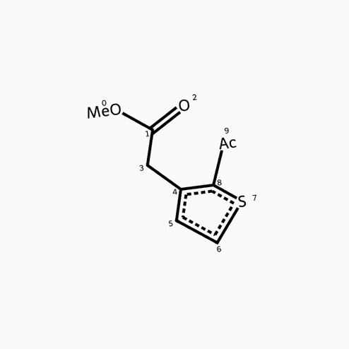 COC(=O)Cc1ccsc1C(C)=O